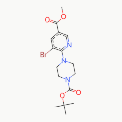 COC(=O)c1cnc(N2CCN(C(=O)OC(C)(C)C)CC2)c(Br)c1